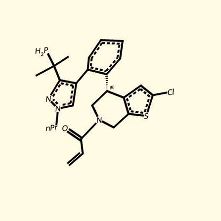 C=CC(=O)N1Cc2sc(Cl)cc2[C@@H](c2ccccc2-c2cn(CCC)nc2C(C)(C)P)C1